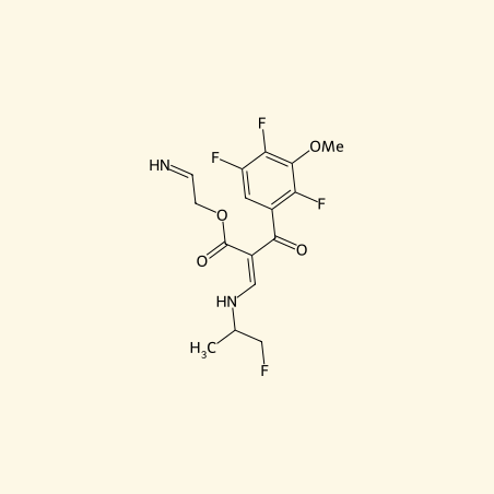 COc1c(F)c(F)cc(C(=O)C(=CNC(C)CF)C(=O)OCC=N)c1F